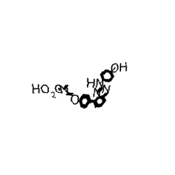 CN(CCOc1ccc(-c2cccc3cnc(N[C@H]4CC[C@H](O)CC4)nc23)cc1)C(=O)O